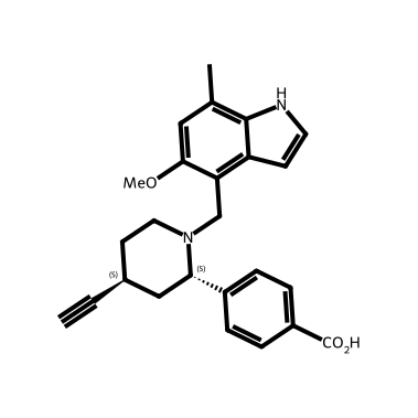 C#C[C@H]1CCN(Cc2c(OC)cc(C)c3[nH]ccc23)[C@H](c2ccc(C(=O)O)cc2)C1